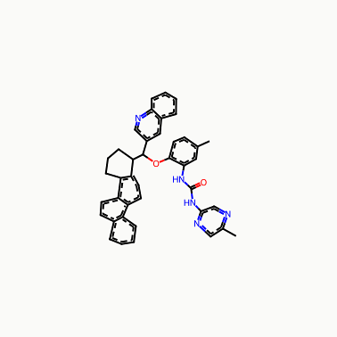 Cc1ccc(OC(c2cnc3ccccc3c2)C2CCCc3c2ccc2c3ccc3ccccc32)c(NC(=O)Nc2cnc(C)cn2)c1